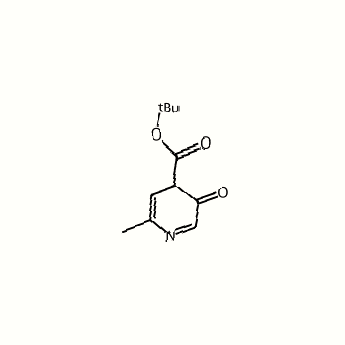 CC1=CC(C(=O)OC(C)(C)C)C(=O)C=N1